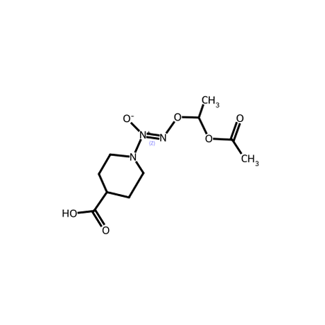 CC(=O)OC(C)O/N=[N+](\[O-])N1CCC(C(=O)O)CC1